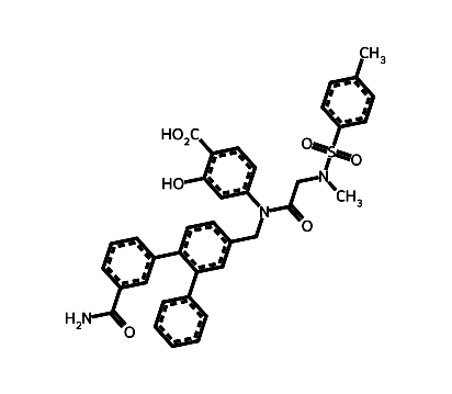 Cc1ccc(S(=O)(=O)N(C)CC(=O)N(Cc2ccc(-c3cccc(C(N)=O)c3)c(-c3ccccc3)c2)c2ccc(C(=O)O)c(O)c2)cc1